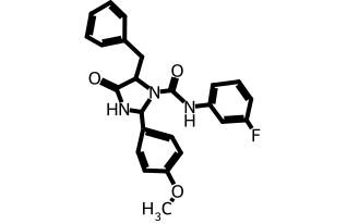 COc1ccc(C2NC(=O)C(Cc3ccccc3)N2C(=O)Nc2cccc(F)c2)cc1